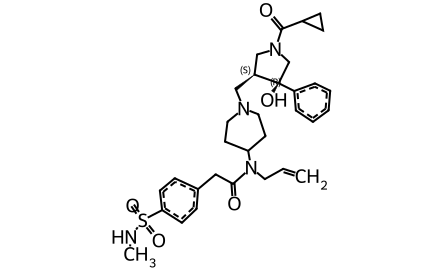 C=CCN(C(=O)Cc1ccc(S(=O)(=O)NC)cc1)C1CCN(C[C@H]2CN(C(=O)C3CC3)C[C@]2(O)c2ccccc2)CC1